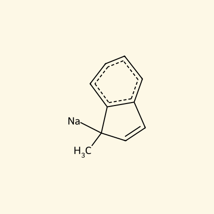 C[C]1([Na])C=Cc2ccccc21